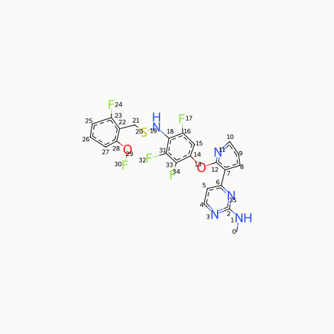 CNc1nccc(-c2cccnc2Oc2cc(F)c(NSCc3c(F)cccc3OF)c(F)c2F)n1